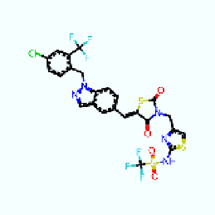 O=C1S/C(=C\c2ccc3c(cnn3Cc3ccc(Cl)cc3C(F)(F)F)c2)C(=O)N1Cc1csc(NS(=O)(=O)C(F)(F)F)n1